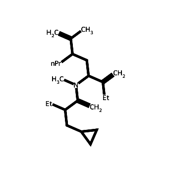 C=C(C)C(CCC)CC(C(=C)CC)N(C)C(=C)C(CC)CC1CC1